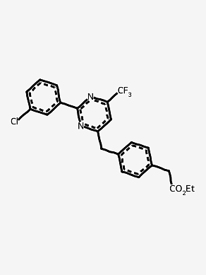 CCOC(=O)Cc1ccc(Cc2cc(C(F)(F)F)nc(-c3cccc(Cl)c3)n2)cc1